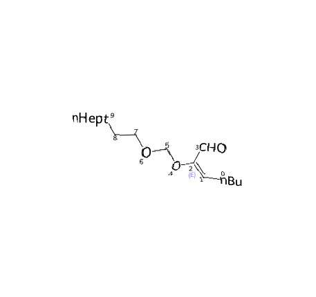 CCCC/C=C(\C=O)OCOCCCCCCCCC